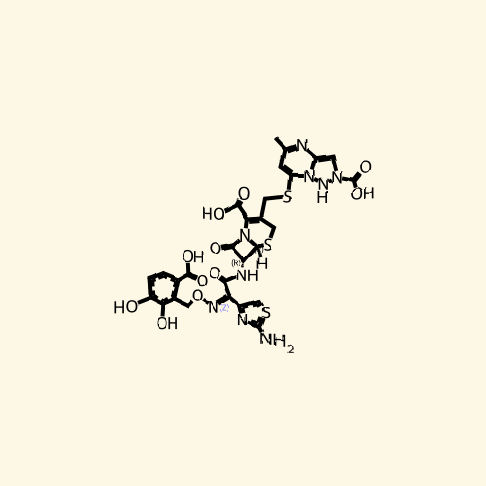 CC1=NC2=CN(C(=O)O)NN2C(SCC2=C(C(=O)O)N3C(=O)[C@@H](NC(=O)/C(=N\OCc4c(C(=O)O)ccc(O)c4O)c4csc(N)n4)[C@H]3SC2)=C1